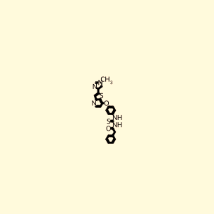 CN1C=NC(c2cc3nccc(Oc4ccc(NC(=S)NC(=O)Cc5ccccc5)cc4)c3s2)C1